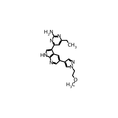 CCc1cc(-c2c[nH]c3ncc(-c4cnn(CCOC)c4)cc23)nc(N)n1